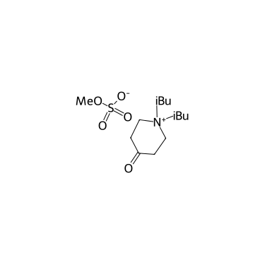 CCC(C)[N+]1(C(C)CC)CCC(=O)CC1.COS(=O)(=O)[O-]